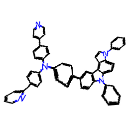 c1ccc(-n2ccc3c4c5cc(-c6ccc(N(c7ccc(-c8ccncc8)cc7)c7ccc(-c8ccccn8)cc7)cc6)ccc5n(-c5ccccc5)c4ccc32)cc1